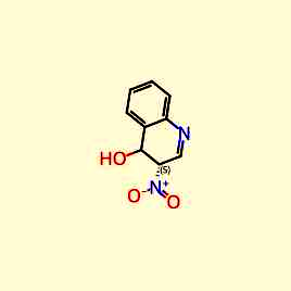 O=[N+]([O-])[C@H]1C=Nc2ccccc2C1O